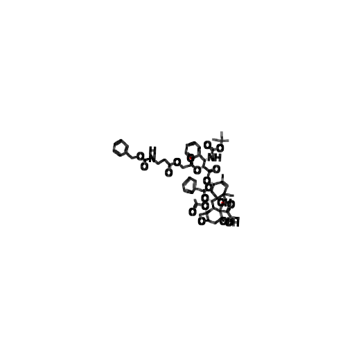 CC(=O)O[C@@]12COC1C[C@H](O)[C@@](C)(C(=O)[C@@H](C)O)[C@@H]2[C@H](OC(=O)c1ccccc1)[C@]1(O)C[C@H](OC(=O)[C@H](OC(=O)COC(=O)CCNC(=O)OCc2ccccc2)[C@@H](NC(=O)OC(C)(C)C)c2ccccc2)C(C)=CC1(C)C